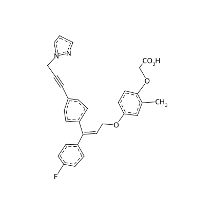 Cc1cc(OC/C=C(/c2ccc(F)cc2)c2ccc(C#CCn3cccn3)cc2)ccc1OCC(=O)O